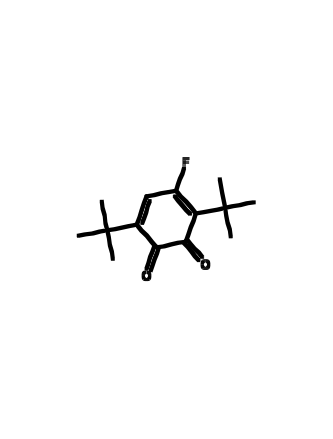 CC(C)(C)C1=CC(F)=C(C(C)(C)C)C(=O)C1=O